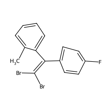 Cc1ccccc1C(=C(Br)Br)c1ccc(F)cc1